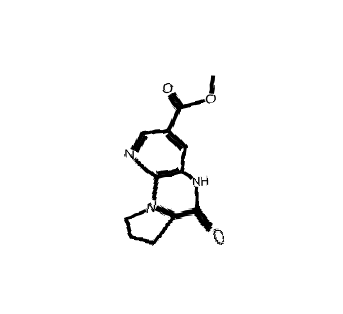 COC(=O)c1cnc2c(c1)NC(=O)C1CCCN21